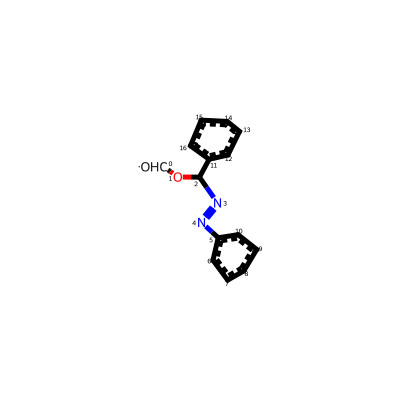 O=[C]OC(N=Nc1ccccc1)c1ccccc1